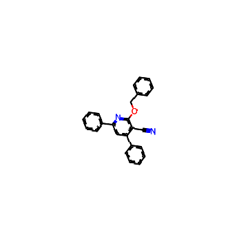 N#Cc1c(-c2ccccc2)cc(-c2ccccc2)nc1OCc1ccccc1